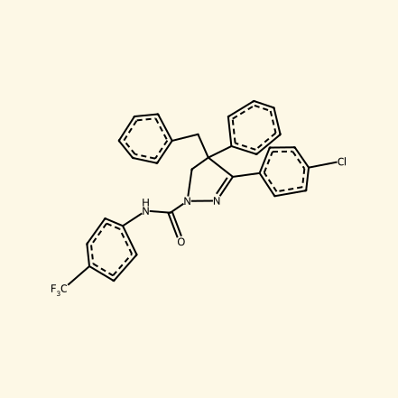 O=C(Nc1ccc(C(F)(F)F)cc1)N1CC(Cc2ccccc2)(c2ccccc2)C(c2ccc(Cl)cc2)=N1